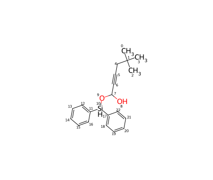 CC(C)(C)CC#CC(O)O[SiH](c1ccccc1)c1ccccc1